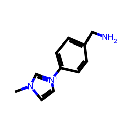 Cn1cc[n+](-c2ccc(CN)cc2)c1